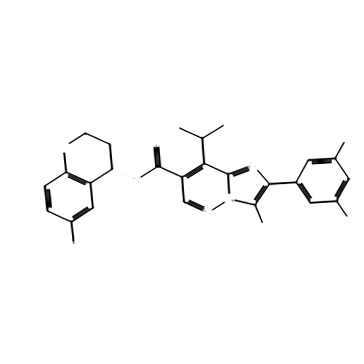 CC(C)c1c(C(=O)N[C@H]2CCOc3ccc(F)cc32)cnn2c(Cl)c(-c3cc(Cl)cc(Cl)c3)nc12